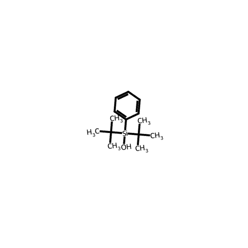 CC(C)(C)[Si](O)(c1ccccc1)C(C)(C)C